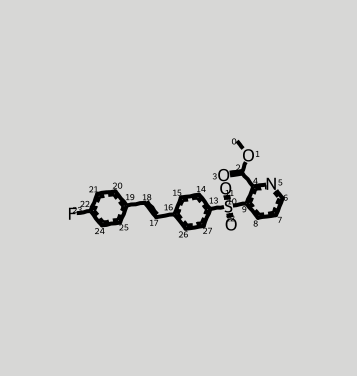 COC(=O)c1ncccc1S(=O)(=O)c1ccc(C=Cc2ccc(F)cc2)cc1